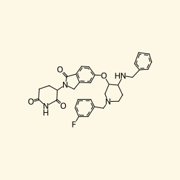 O=C1CCC(N2Cc3cc(OC4CN(Cc5cccc(F)c5)CCC4NCc4ccccc4)ccc3C2=O)C(=O)N1